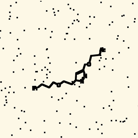 CC(=O)CCOCC1=CC(CCOCCCC(C)C)N=N1